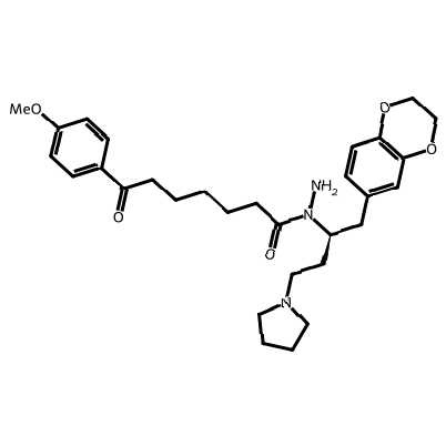 COc1ccc(C(=O)CCCCCC(=O)N(N)[C@H](CCN2CCCC2)Cc2ccc3c(c2)OCCO3)cc1